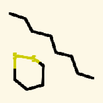 C1CCSSC1.CCCCCCCC